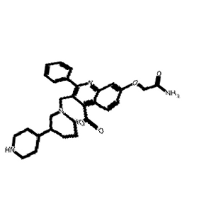 NC(=O)COc1ccc2c(C(=O)O)c(CN3CCCC(C4CCNCC4)C3)c(-c3ccccc3)nc2c1